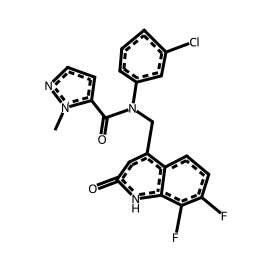 Cn1nccc1C(=O)N(Cc1cc(=O)[nH]c2c(F)c(F)ccc12)c1cccc(Cl)c1